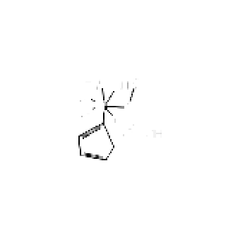 C[O][Ti]([CH3])([CH3])([CH3])([CH3])([CH3])[C]1=CC=CC1.Cl.Cl